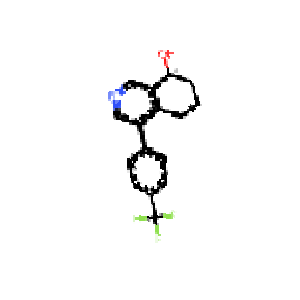 O[C@H]1CCCc2c(-c3ccc(C(F)(F)F)cc3)cncc21